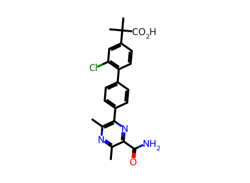 Cc1nc(C)c(-c2ccc(-c3ccc(C(C)(C)C(=O)O)cc3Cl)cc2)nc1C(N)=O